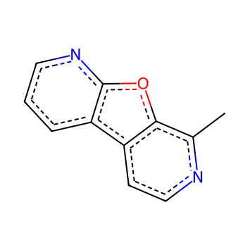 Cc1nccc2c1oc1ncccc12